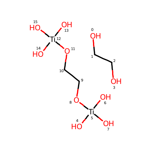 OCCO.[OH][Ti]([OH])([OH])[O]CC[O][Ti]([OH])([OH])[OH]